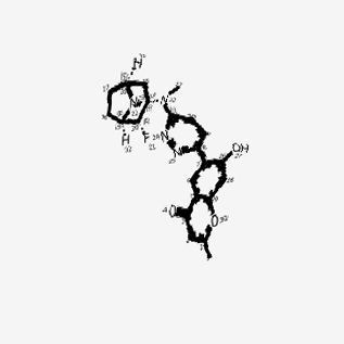 Cc1cc(=O)c2cc(-c3ccc(N(C)[C@H]4C[C@@H]5CC[C@H]([C@H]4F)N5C)nn3)c(O)cc2o1